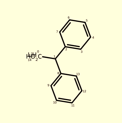 O=C(O)C(c1ccccc1)c1ccccc1.[LiH]